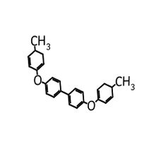 CC1C=CC(Oc2ccc(-c3ccc(OC4=CCC(C)C=C4)cc3)cc2)=CC1